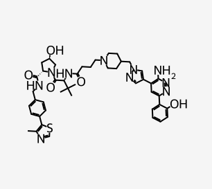 Cc1ncsc1-c1ccc(CNC(=O)[C@@H]2C[C@@H](O)CN2C(=O)[C@@H](NC(=O)CCCN2CCC(Cn3cc(-c4cc(-c5ccccc5O)nnc4N)cn3)CC2)C(C)(C)C)cc1